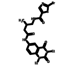 CCn1c(=O)c2cc(NC(=O)CC(C)CNC(=O)c3cnc(Br)s3)ccc2n(CC)c1=O